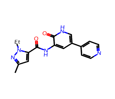 CCn1nc(C)cc1C(=O)Nc1cc(-c2ccncc2)c[nH]c1=O